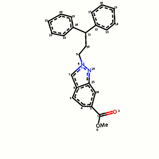 COC(=O)c1ccc2cn(CCC(c3ccccc3)c3ccccc3)nc2c1